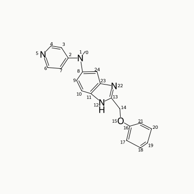 CN(c1ccncc1)c1ccc2[nH]c(COc3ccccc3)nc2c1